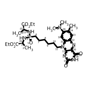 CCOC(=O)[C@H](C)NP(=O)(CCCCCCn1c2nc(=O)[nH]c(=O)c-2nc2cc(C)c(N(C)C)cc21)N[C@@H](C)C(=O)OCC